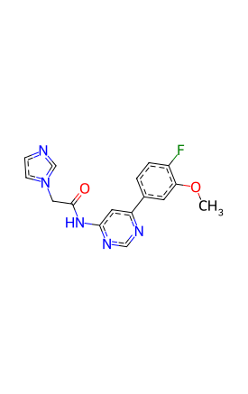 COc1cc(-c2cc(NC(=O)Cn3ccnc3)ncn2)ccc1F